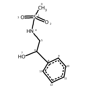 CS(=O)(=O)NCC(O)c1ccccc1